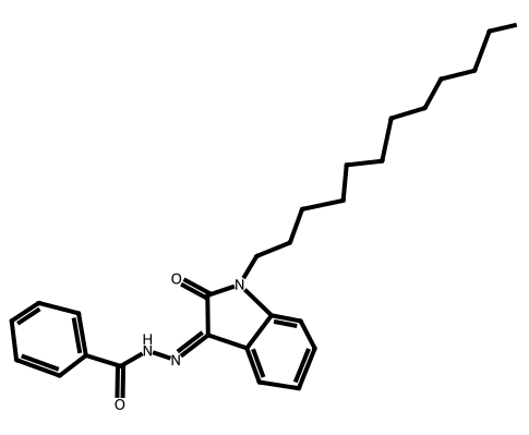 CCCCCCCCCCCCN1C(=O)C(=NNC(=O)c2ccccc2)c2ccccc21